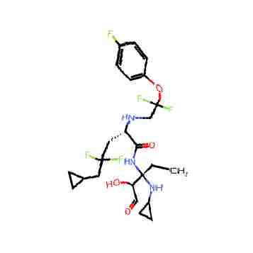 CC[C@@](NC(=O)[C@H](CC(F)(F)CC1CC1)NCC(F)(F)Oc1ccc(F)cc1)(NC1CC1)C(O)C=O